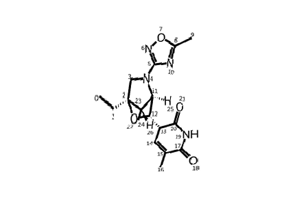 CC[C@@]12CN(c3noc(C)n3)[C@@H]([C@H](C3C=C(C)C(=O)NC3=O)O1)[C@@H]2C